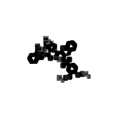 COc1ccc(S(=O)(=O)N[C@@H](Cc2ccccc2)[C@H](O)C(=O)N2CSC(C)(C)[C@H]2C(=O)NCc2ccccc2C)cc1OC